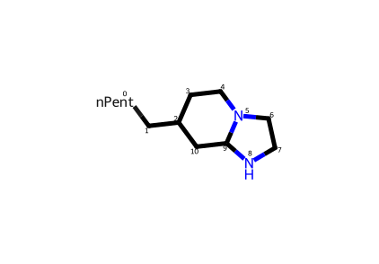 CCCCCCC1CCN2CCNC2C1